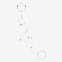 Cc1ccc(NC(=O)CN2C(=O)S/C(=C\c3ccc(-c4cccc(C(=O)O)c4)o3)C2=O)cc1